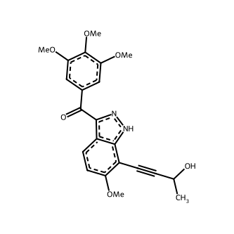 COc1cc(C(=O)c2n[nH]c3c(C#CC(C)O)c(OC)ccc23)cc(OC)c1OC